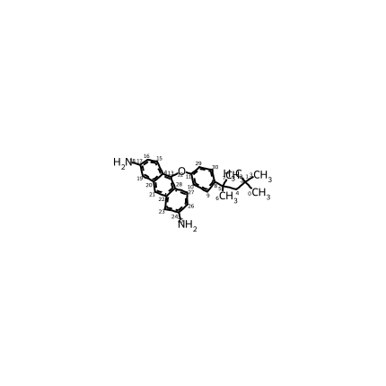 CC(C)(C)CC(C)(C)c1ccc(Oc2c3ccc(N)cc3cc3cc(N)ccc23)cc1